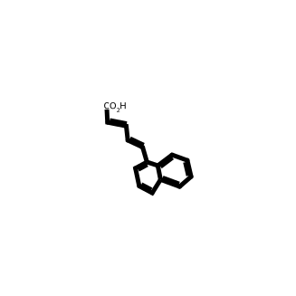 O=C(O)/C=C/C=C/c1cccc2ccccc12